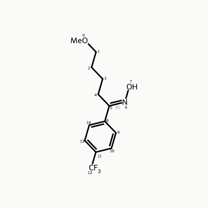 COCCCC/C(=N\O)c1ccc(C(F)(F)F)cc1